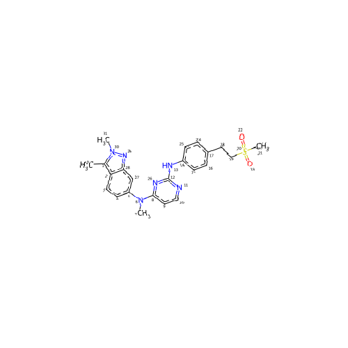 Cc1c2ccc(N(C)c3ccnc(Nc4ccc(CCS(C)(=O)=O)cc4)n3)cc2nn1C